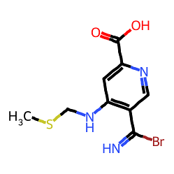 CSCNc1cc(C(=O)O)ncc1C(=N)Br